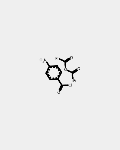 CC(C)C(=O)OC(=O)C(C)C.O=C(Cl)c1ccc([N+](=O)[O-])cc1